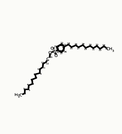 CCCCCCCCCCCCCCCCOS(=O)(=O)c1ccc(CCCCCCCCCCCC)cc1